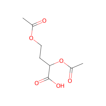 CC(=O)OCCC(OC(C)=O)C(=O)O